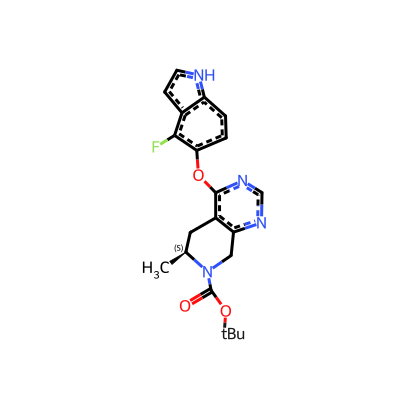 C[C@H]1Cc2c(ncnc2Oc2ccc3[nH]ccc3c2F)CN1C(=O)OC(C)(C)C